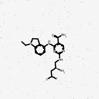 CCN1CCc2c(Nc3nc(NC[C@@H](N)CC(F)F)ncc3C(N)=O)cccc21